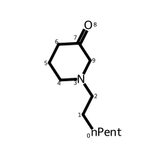 CCCCCCCN1CCCC(=O)C1